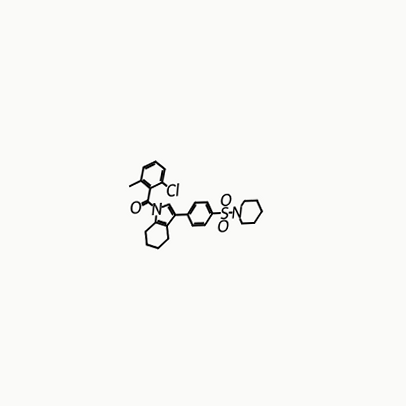 Cc1cccc(Cl)c1C(=O)n1cc(-c2ccc(S(=O)(=O)N3CCCCC3)cc2)c2c1CCCC2